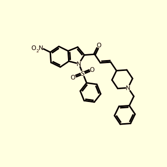 O=C(C=CC1CCN(Cc2ccccc2)CC1)c1cc2cc([N+](=O)[O-])ccc2n1S(=O)(=O)c1ccccc1